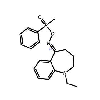 CCN1CCC/C(=N\OP(C)(=O)c2ccccc2)c2ccccc21